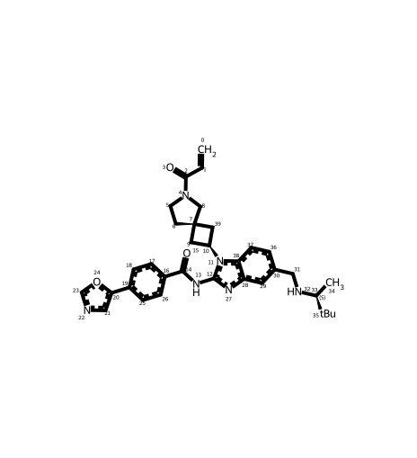 C=CC(=O)N1CC[C@]2(C1)C[C@H](n1c(NC(=O)c3ccc(-c4cnco4)cc3)nc3cc(CN[C@@H](C)C(C)(C)C)ccc31)C2